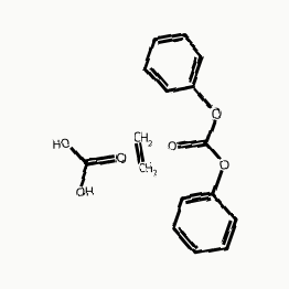 C=C.O=C(O)O.O=C(Oc1ccccc1)Oc1ccccc1